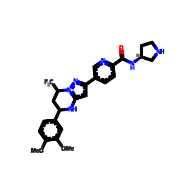 COc1ccc(C2CC(C(F)(F)F)n3nc(-c4ccc(C(=O)N[C@H]5CCNC5)nc4)cc3N2)cc1OC